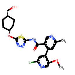 COc1cnc(Cl)cc1-c1cc(C)ncc1C(=O)Nc1nnc(O[C@H]2CC[C@@H](CO)CC2)s1